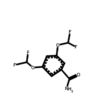 NC(=O)c1cc(OC(F)F)cc(OC(F)F)c1